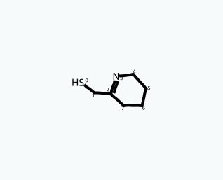 SCC1=NCCCC1